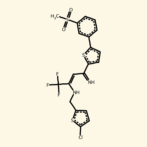 CS(=O)(=O)c1cccc(-c2ccc(C(=N)/C=C(\NCc3ccc(Cl)s3)C(F)(F)F)s2)c1